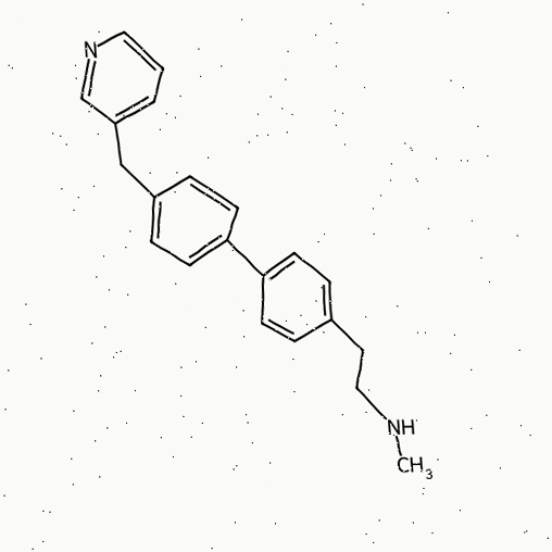 CNCCc1ccc(-c2ccc(Cc3cccnc3)cc2)cc1